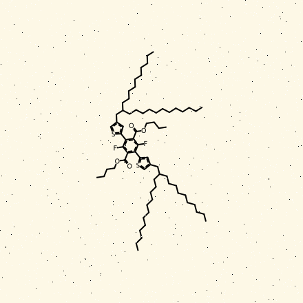 CCCCCCCCCCCCC(CCCCCCCCCC)Cc1csc(-c2c(F)c(C(=O)OCCCC)c(-c3cc(CC(CCCCCCCCCC)CCCCCCCCCCCC)cs3)c(F)c2C(=O)OCCCC)c1